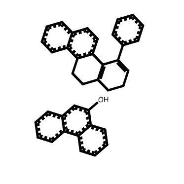 C1=C(c2ccccc2)C2=C(CC1)CCc1c2ccc2ccccc12.Oc1cc2ccccc2c2ccccc12